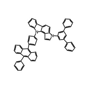 c1ccc(-c2cc(-c3ccccc3)cc(-n3ccc4c3ccc3c5ccccc5n(-c5ccc(-c6c7ccccc7c(-c7ccccc7)c7ccccc67)cc5)c34)c2)cc1